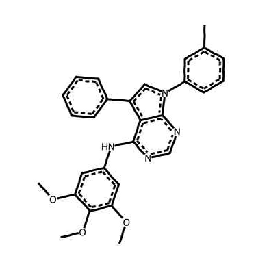 COc1cc(Nc2ncnc3c2c(-c2ccccc2)cn3-c2cccc(C)c2)cc(OC)c1OC